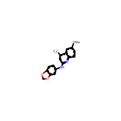 COc1ccc2nc(Nc3ccc4c(c3)OCO4)cc(C(F)(F)F)c2c1